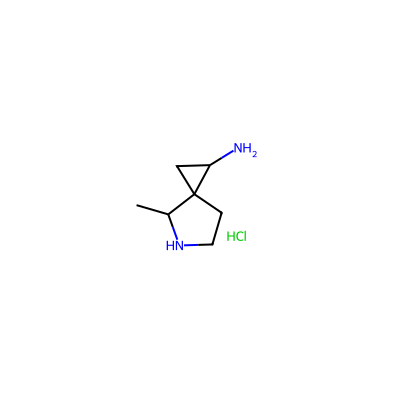 CC1NCCC12CC2N.Cl